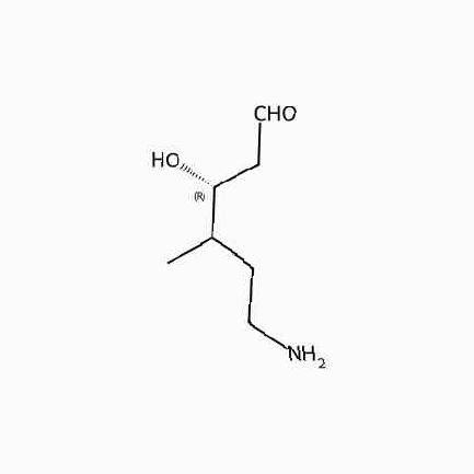 CC(CCN)[C@H](O)CC=O